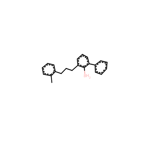 Bc1c(CCCc2ccccc2C)cccc1-c1ccccc1